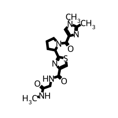 CNC(=O)CNC(=O)c1csc(C2CCCN2C(=O)c2cn(C)c(C)n2)n1